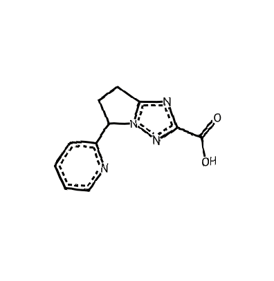 O=C(O)c1nc2n(n1)C(c1ccccn1)CC2